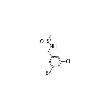 C[S+]([O-])NCc1cc(Cl)cc(Br)c1